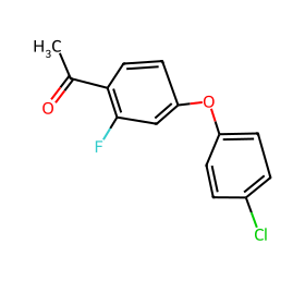 CC(=O)c1ccc(Oc2ccc(Cl)cc2)cc1F